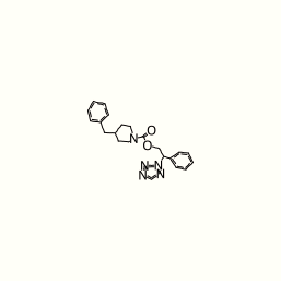 O=C(OCC(c1ccccc1)n1ncnn1)N1CCC(Cc2ccccc2)CC1